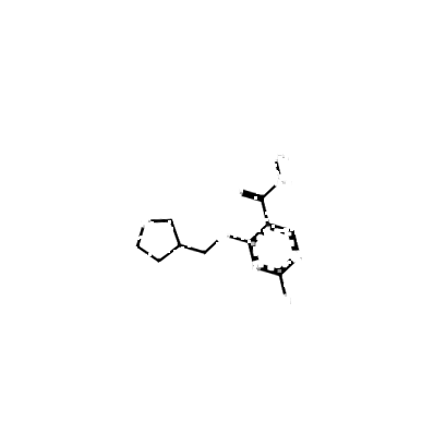 CC(C)(C)NC(=O)c1cnc(Cl)nc1OCC1CCOC1